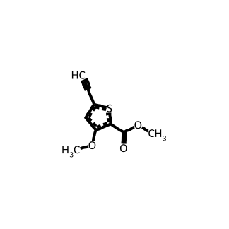 C#Cc1cc(OC)c(C(=O)OC)s1